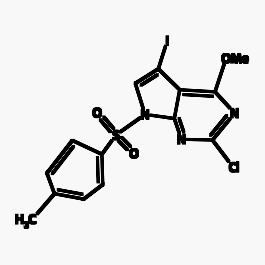 COc1nc(Cl)nc2c1c(I)cn2S(=O)(=O)c1ccc(C)cc1